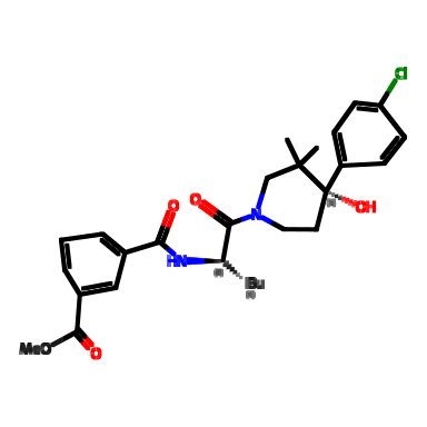 CC[C@@H](C)[C@@H](NC(=O)c1cccc(C(=O)OC)c1)C(=O)N1CC[C@](O)(c2ccc(Cl)cc2)C(C)(C)C1